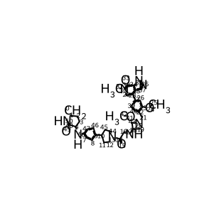 C=C1CCC(Nc2ccc(C3CCN(C(=O)CNC4CN(Cc5c(OC)cc(-c6cn(C)c(=O)c7[nH]ncc67)cc5OC)C4)CC3)cc2)C(=O)N1